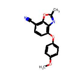 COc1ccc(Oc2ccc(C#N)c3oc(C)nc23)cc1